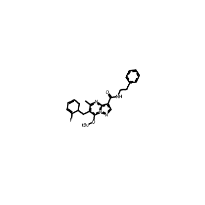 Cc1nc2c(C(=O)NCCc3ccccc3)cnn2c(OC(C)(C)C)c1CC1CC=CC=C1F